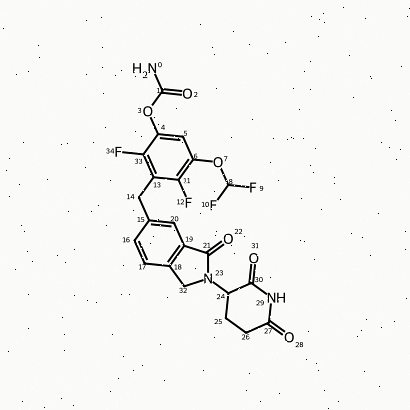 NC(=O)Oc1cc(OC(F)F)c(F)c(Cc2ccc3c(c2)C(=O)N(C2CCC(=O)NC2=O)C3)c1F